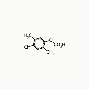 Cc1cc(OC(=O)O)c(C)cc1Cl